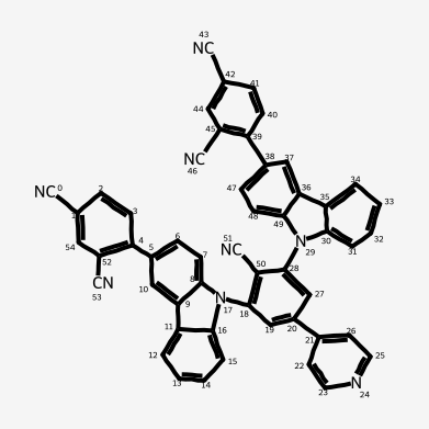 N#Cc1ccc(-c2ccc3c(c2)c2ccccc2n3-c2cc(-c3ccncc3)cc(-n3c4ccccc4c4cc(-c5ccc(C#N)cc5C#N)ccc43)c2C#N)c(C#N)c1